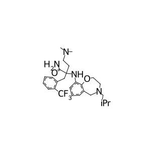 CC(C)CN1CCOc2c(cccc2NC(CCN(C)C)(Cc2ccccc2C(F)(F)F)C(N)=O)C1